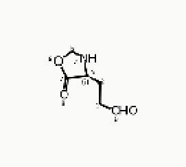 O=CCC[C@@H]1NCOC1=O